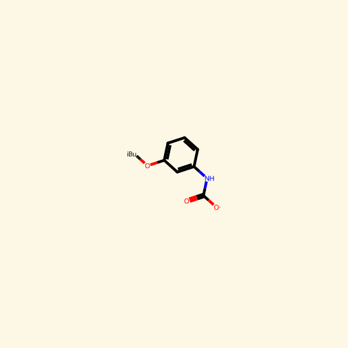 CCC(C)Oc1cccc(NC([O])=O)c1